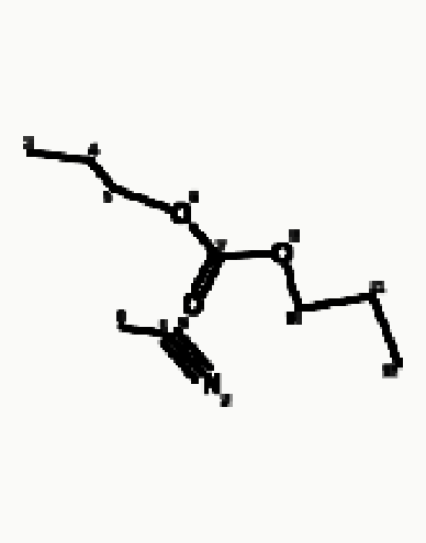 CC#N.CCCOC(=O)OCCC